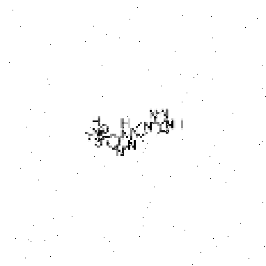 Cc1c[nH]c2ncnc(N3CCN(C(=NC#N)Nc4cccc(S(=O)(=O)NC(C)C)c4)C(C)C3)c12